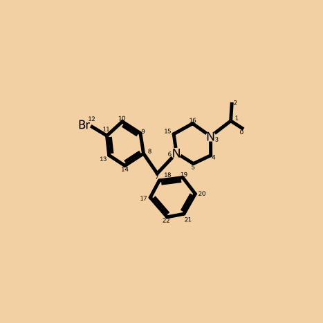 CC(C)N1CCN(Cc2ccc(Br)cc2)CC1.c1ccccc1